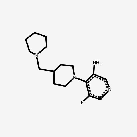 Nc1cncc(F)c1N1CCC(CN2CCCCC2)CC1